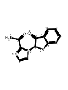 NC(=O)c1nccn1C1Sc2ccccc2C1=O